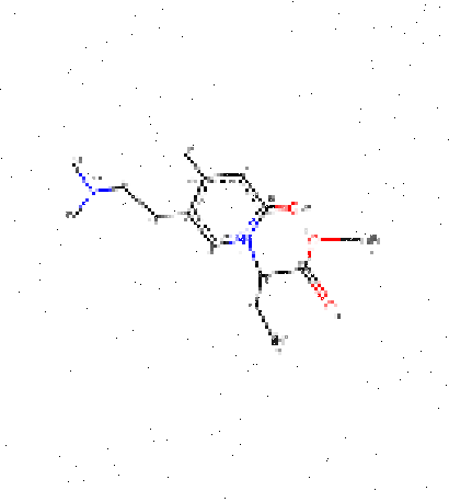 CCCOC(=O)C(CC(C)C)n1cc(CCN(C)C)c(C)cc1=O